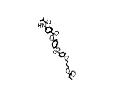 C=CC(=O)OCCCCOc1ccc(C(=O)OC2=CC=C(OC(=O)c3ccc(NC(=O)C(=C)C)cc3)CC2)cc1